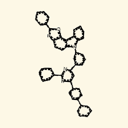 c1ccc(-c2ccc(-c3cc(-c4cccc(-n5c6ccccc6c6c7oc(-c8ccccc8)nc7ccc65)c4)nc(-c4ccccc4)n3)cc2)cc1